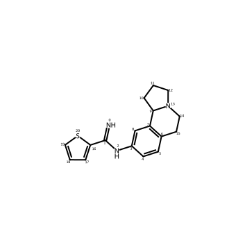 N=C(Nc1ccc2c(c1)C1CCCN1CC2)c1cccs1